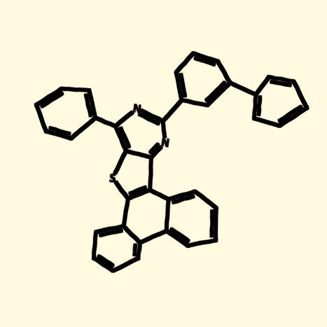 c1ccc(-c2cccc(-c3nc(-c4ccccc4)c4sc5c6ccccc6c6ccccc6c5c4n3)c2)cc1